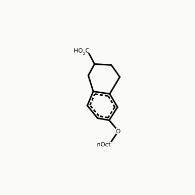 CCCCCCCCOc1ccc2c(c1)CCC(C(=O)O)C2